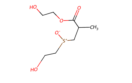 CC(C[S+]([O-])CCO)C(=O)OCCO